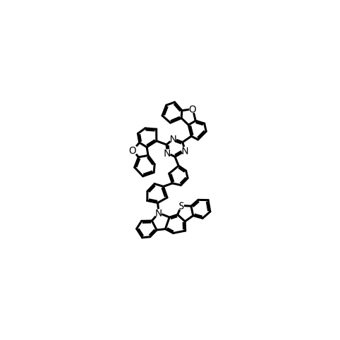 c1cc(-c2cccc(-n3c4ccccc4c4ccc5c6ccccc6sc5c43)c2)cc(-c2nc(-c3cccc4oc5ccccc5c34)nc(-c3cccc4oc5ccccc5c34)n2)c1